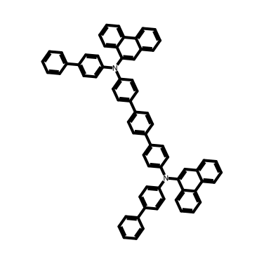 c1ccc(-c2ccc(N(c3ccc(-c4ccc(-c5ccc(N(c6ccc(-c7ccccc7)cc6)c6cc7ccccc7c7ccccc67)cc5)cc4)cc3)c3cc4ccccc4c4ccccc34)cc2)cc1